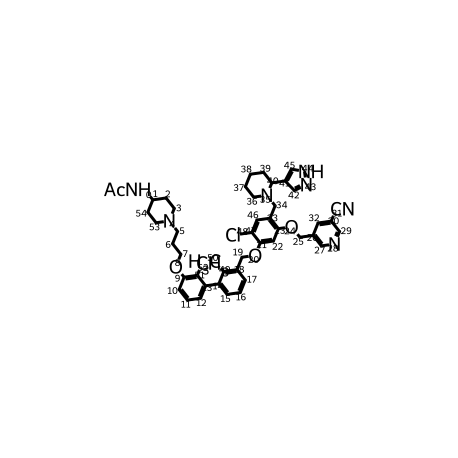 CC(=O)NC1CCN(CCCOc2cccc(-c3cccc(COc4cc(OCc5cncc(C#N)c5)c(CN5CCCCC5c5cn[nH]c5)cc4Cl)c3C)c2C)CC1